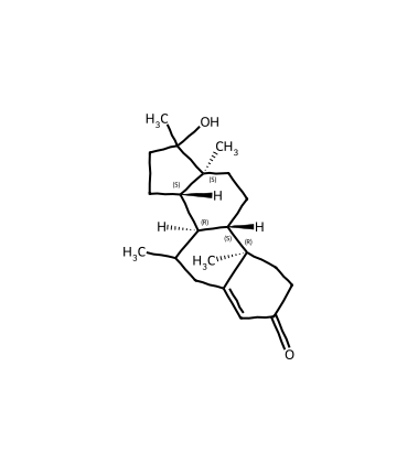 CC1CC2=CC(=O)CC[C@]2(C)[C@H]2CC[C@@]3(C)[C@@H](CCC3(C)O)[C@H]12